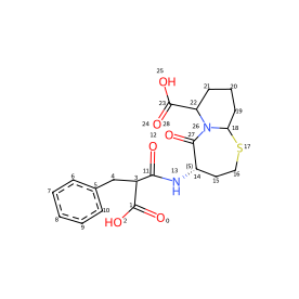 O=C(O)C(Cc1ccccc1)C(=O)N[C@H]1CCSC2CCCC(C(=O)O)N2C1=O